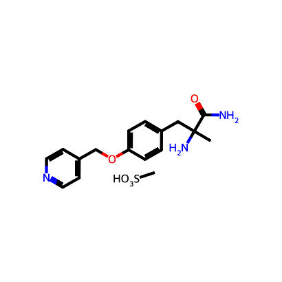 CC(N)(Cc1ccc(OCc2ccncc2)cc1)C(N)=O.CS(=O)(=O)O